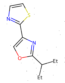 CCC(CC)c1nc(-c2nccs2)co1